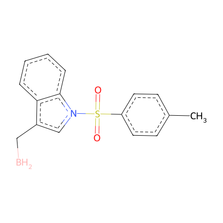 BCc1cn(S(=O)(=O)c2ccc(C)cc2)c2ccccc12